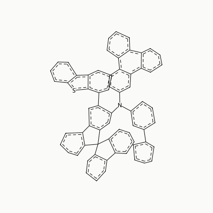 c1ccc(-c2cccc(N(c3ccc4c5ccccc5c5ccccc5c4c3)c3cc4c(cc3-c3cccc5c3sc3ccccc35)-c3ccccc3C43c4ccccc4-c4ccccc43)c2)cc1